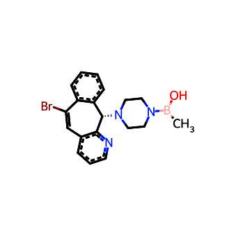 CB(O)N1CCN([C@H]2c3ccccc3C(Br)=Cc3cccnc32)CC1